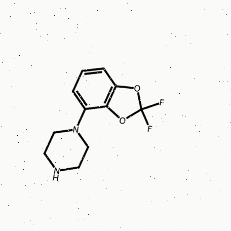 FC1(F)Oc2cccc(N3CCNCC3)c2O1